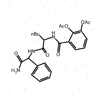 CCCCC(NC(=O)c1cccc(OC(C)=O)c1OC(C)=O)C(=O)NC(C(N)=O)c1ccccc1